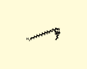 CCCCCCCCCCCCCCCCOCC(CC#N)CNS(=O)(=O)CCCI